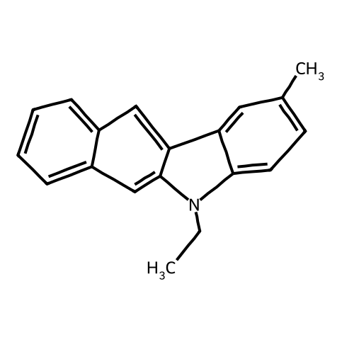 CCn1c2ccc(C)cc2c2cc3ccccc3cc21